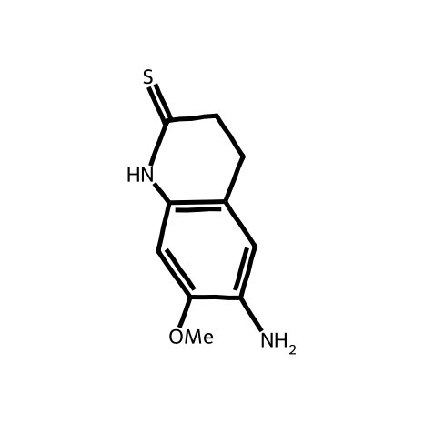 COc1cc2c(cc1N)CCC(=S)N2